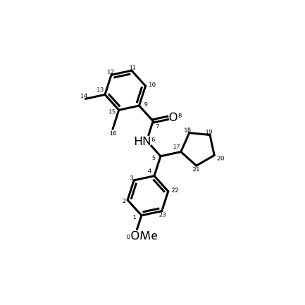 COc1ccc(C(NC(=O)c2cccc(C)c2C)C2CCCC2)cc1